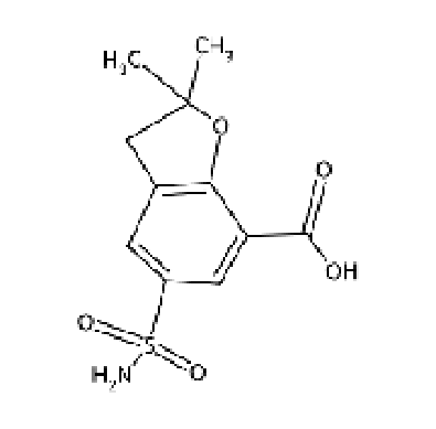 CC1(C)Cc2cc(S(N)(=O)=O)cc(C(=O)O)c2O1